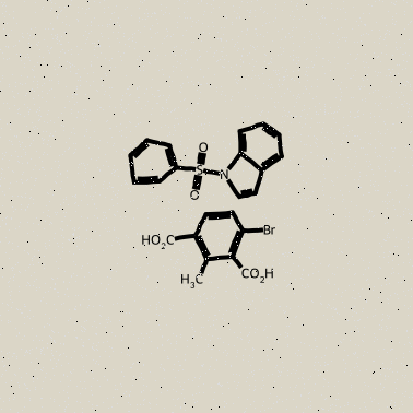 Cc1c(C(=O)O)ccc(Br)c1C(=O)O.O=S(=O)(c1ccccc1)n1ccc2ccccc21